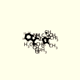 CC1=C(C)C(C)([SiH](C)C)[C]([Zr+2][c]2[nH]c3ccccc3c2C(C)(C)C)=C1C.[Cl-].[Cl-]